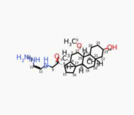 CO[C@H]1C[C@]2(C)[C@@H](C(=O)CN/C=C\NN)CC[C@H]2[C@@H]2CC[C@H]3C[C@H](O)CC[C@]3(C)[C@H]21